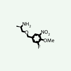 COc1c(F)cc(COC[C@@H](C)N)cc1[N+](=O)[O-]